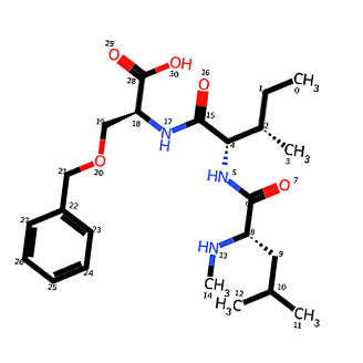 CC[C@H](C)[C@H](NC(=O)[C@H](CC(C)C)NC)C(=O)N[C@@H](COCc1ccccc1)C(=O)O